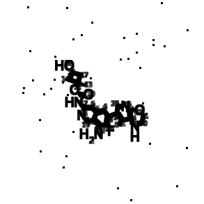 Cc1c(-c2cc3cc(NC(=O)O[C@]4(C)C[C@H](O)C4)ncc3c(N)c2F)cnc2c1NCCO2